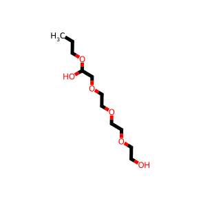 CCCOC(O)COCCOCCOCCO